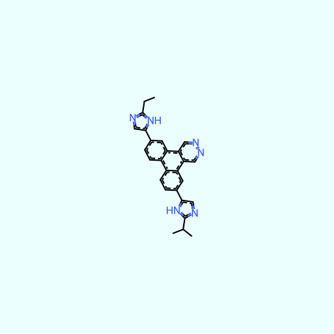 CCc1ncc(-c2ccc3c4ccc(-c5cnc(C(C)C)[nH]5)cc4c4cnncc4c3c2)[nH]1